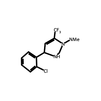 CNN1CNC(c2ccccc2Cl)C=C1C(F)(F)F